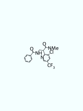 CNC(=O)C(CNC(=O)c1ccccc1)c1ncc(C(F)(F)F)cc1Cl